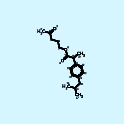 CC(=O)CCCOC(=O)C(C)c1ccc(CC(C)C)cc1